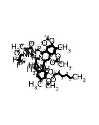 CCCCCC(=O)Oc1c(OC)c(C)cc2c1[C@@H]1C3Cc4c(OC(C)=O)c(C)c5c(c4[C@H](CNC(=O)[C@H](C)NC(=O)C(F)(F)F)N3[C@@H](C#N)[C@H](C2)N1C)OCO5